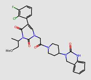 COCC(C)n1c(=O)c(-c2cccc(F)c2Cl)cn(CC(=O)N2CCC(N3Cc4ccccc4NC3=O)CC2)c1=O